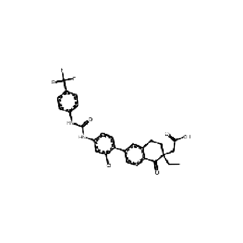 CCC1(CC(=O)O)CCc2cc(-c3ccc(NC(=O)Nc4ccc(C(F)(F)F)cc4)cc3Cl)ccc2C1=O